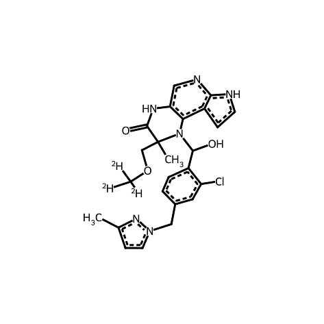 [2H]C([2H])([2H])OCC1(C)C(=O)Nc2cnc3[nH]ccc3c2N1C(O)c1ccc(Cn2ccc(C)n2)cc1Cl